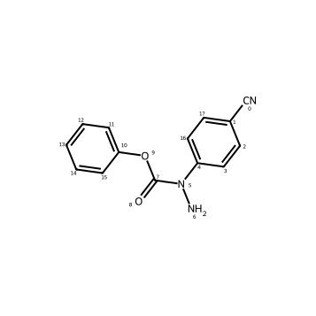 N#Cc1ccc(N(N)C(=O)Oc2ccccc2)cc1